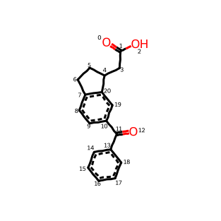 O=C(O)CC1CCc2ccc(C(=O)c3ccccc3)cc21